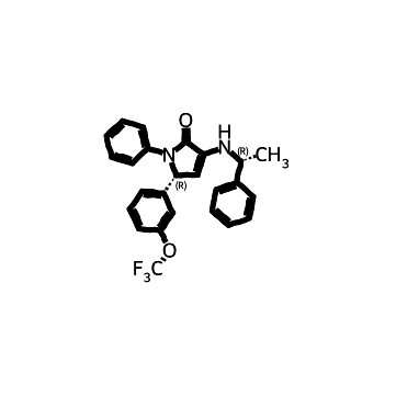 C[C@@H](NC1=C[C@H](c2cccc(OC(F)(F)F)c2)N(c2ccccc2)C1=O)c1ccccc1